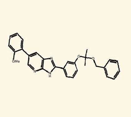 COc1ccccc1-c1cnc2[nH]c(-c3cccc(OC(C)(C)OCc4ccccc4)c3)nc2c1